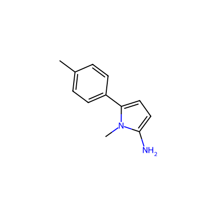 Cc1ccc(-c2ccc(N)n2C)cc1